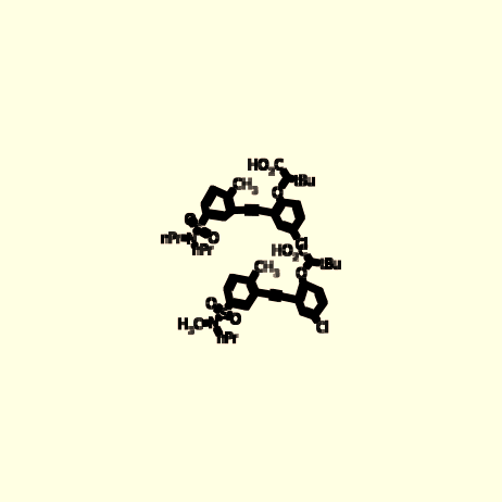 CCCN(C)S(=O)(=O)c1ccc(C)c(C#Cc2cc(Cl)ccc2OC(C(=O)O)C(C)(C)C)c1.CCCN(CCC)S(=O)(=O)c1ccc(C)c(C#Cc2cc(Cl)ccc2OC(C(=O)O)C(C)(C)C)c1